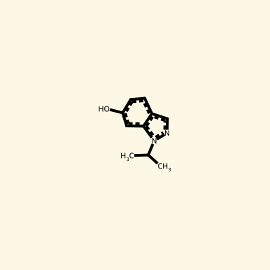 CC(C)n1ncc2ccc(O)cc21